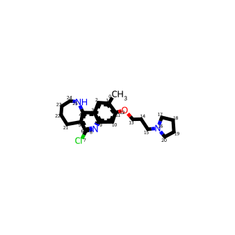 Cc1cc2c3c(c(Cl)nc2cc1OCCCN1CCCC1)CCCCN3